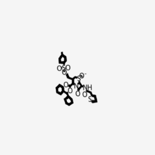 Cc1ccc(S(=O)(=O)OC=CC2=C(C(=O)OC(c3ccccc3)c3ccccc3)N3C(=O)C(NC(=O)Cc4cccs4)C3[S+]([O-])C2)cc1